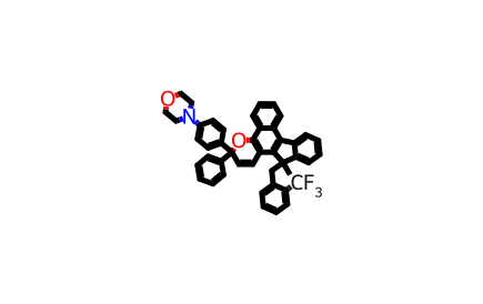 CC1(Cc2ccccc2C(F)(F)F)c2ccccc2-c2c1c1c(c3ccccc23)OC(c2ccccc2)(c2ccc(N3CCOCC3)cc2)C=C1